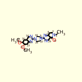 CCn1ccc2nc(N3CCN(c4ncc5cc(OC)c(OC)cc5n4)CC3)ncc2c1=O